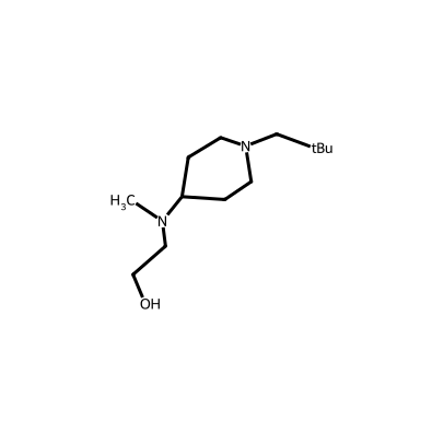 CN(CCO)C1CCN(CC(C)(C)C)CC1